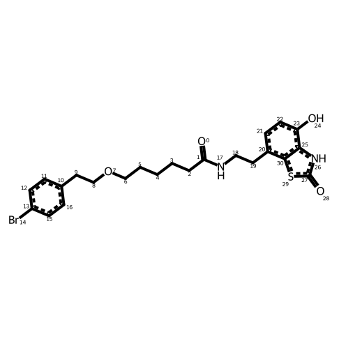 O=C(CCCCCOCCc1ccc(Br)cc1)NCCc1ccc(O)c2[nH]c(=O)sc12